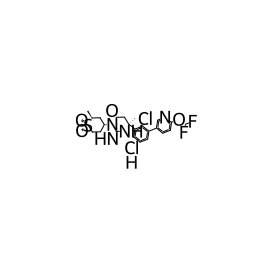 C[C@H]1C[C@H](N2C(=N)N[C@](C)(c3cccc(-c4ccc(OC(F)F)nc4)c3Cl)CC2=O)CCS1(=O)=O.Cl